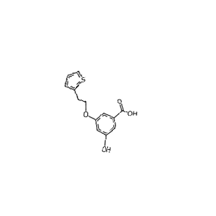 O=C(O)c1cc(O)cc(OCCc2cccs2)c1